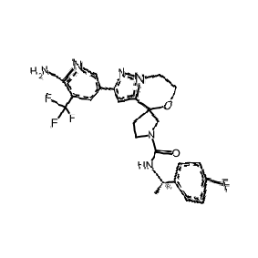 C[C@@H](NC(=O)N1CCC2(C1)OCCn1nc(-c3cnc(N)c(C(F)(F)F)c3)cc12)c1ccc(F)cc1